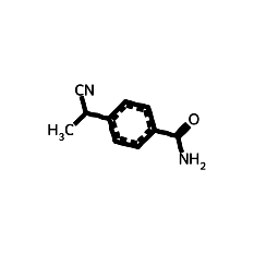 CC(C#N)c1ccc(C(N)=O)cc1